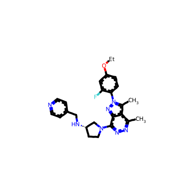 CCOc1ccc(-n2nc3c(N4CC[C@H](NCc5ccncc5)C4)nnc(C)c3c2C)c(F)c1